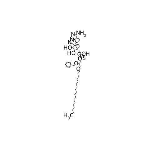 CCCCCCCCCCCCCCCCCCOC[C@H](CO[P@](O)(=S)OC[C@H]1O[C@@](C#N)(c2ccc3c(N)ncnn23)[C@H](O)[C@@H]1O)OCc1ccccc1